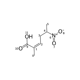 CC(=CCC(C)[N+](=O)[O-])C(=O)O